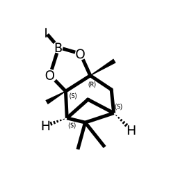 CC1(C)[C@H]2C[C@@H]1[C@]1(C)OB(I)O[C@]1(C)C2